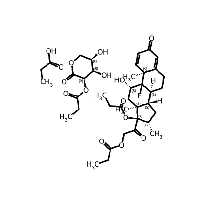 CCC(=O)O.CCC(=O)OCC(=O)[C@@]1(OC(=O)CC)[C@@H](C)C[C@H]2[C@@H]3CCC4=CC(=O)C=C[C@]4(C)C3(F)[C@@H](O)C[C@@]21C.CCC(=O)O[C@H]1C(=O)OC[C@@H](O)[C@H]1O